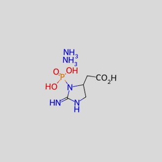 N.N.N=C1NCC(CC(=O)O)N1P(=O)(O)O